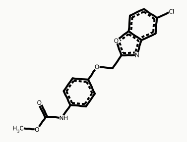 COC(=O)Nc1ccc(OCc2nc3cc(Cl)ccc3o2)cc1